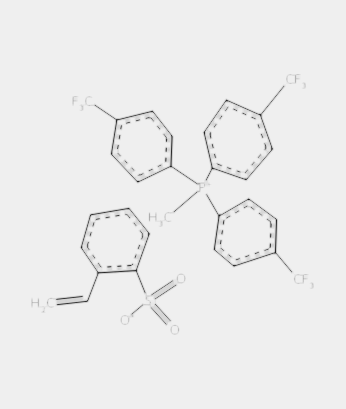 C=Cc1ccccc1S(=O)(=O)[O-].C[P+](c1ccc(C(F)(F)F)cc1)(c1ccc(C(F)(F)F)cc1)c1ccc(C(F)(F)F)cc1